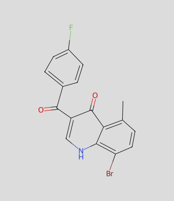 Cc1ccc(Br)c2[nH]cc(C(=O)c3ccc(F)cc3)c(=O)c12